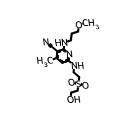 COCCCNc1nc(NCCS(=O)(=O)CCO)cc(C)c1C#N